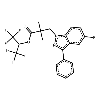 CC(C)(Cn1nc(-c2ccccc2)c2cc(F)ccc21)C(=O)OC(C(F)(F)F)C(F)(F)F